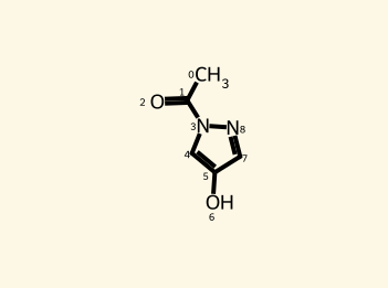 CC(=O)n1cc(O)cn1